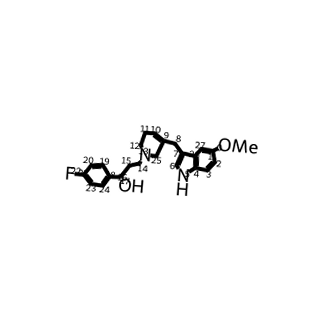 COc1ccc2[nH]cc(CC3=CCCN(CCC(O)c4ccc(F)cc4)C3)c2c1